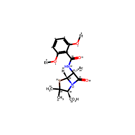 CCOc1cccc(OCC)c1C(=O)N[C@@]1(C(C)=O)C(=O)N2[C@@H](C(=O)O)C(C)(C)S[C@@H]21